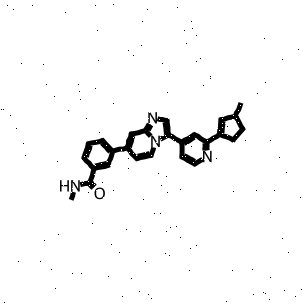 CNC(=O)c1cccc(-c2ccn3c(-c4ccnc(C5=CC(C)CC5)c4)cnc3c2)c1